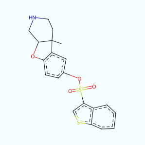 CC12CCNCC1Oc1ccc(OS(=O)(=O)c3csc4ccccc34)cc12